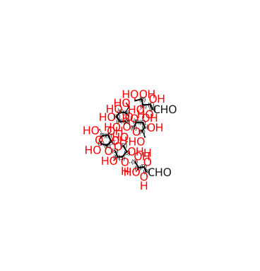 C[C@H](O)[C@H](O)[C@@H](O)[C@@H](O)C=O.O=C[C@H](O)[C@@H](O)[C@H](O)[C@H](O)CO.OC[C@H]1O[C@@H](O[C@@H]2[C@@H](O)[C@H](O)[C@@H](CO)O[C@@H]2O)[C@H](O)[C@@H](O)[C@@H]1O.OC[C@H]1O[C@H](O[C@H]2O[C@H](CO)[C@@H](O)[C@H](O)[C@H]2O)[C@H](O)[C@@H](O)[C@@H]1O